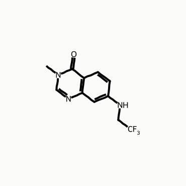 Cn1cnc2cc(NCC(F)(F)F)ccc2c1=O